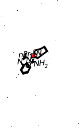 CCCN(C(N)=O)N1C2CCC1CC(n1c(C)nc3ccccc31)C2